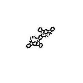 CC1(C)c2ccccc2-c2cc3c4ccccc4n(-c4cc(C=N)c(-n5c6ccccc6c6cc7c(cc65)C(C)(C)c5ccccc5-7)cc4C#N)c3cc21